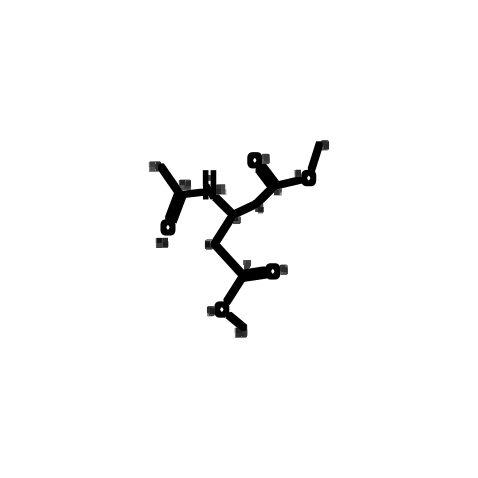 COC(=O)CC(CC(=O)OC)NC(C)=O